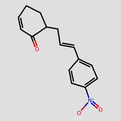 O=C1C=CCCC1CC=Cc1ccc([N+](=O)[O-])cc1